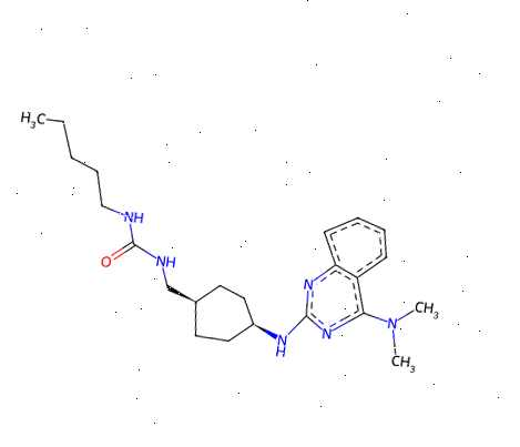 CCCCCNC(=O)NC[C@H]1CC[C@@H](Nc2nc(N(C)C)c3ccccc3n2)CC1